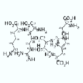 CC(O)C(N)C(=O)O.N=C(N)NCCCC(N)C(=O)O.NC(CO)C(=O)O.NC(Cc1c[nH]cn1)C(=O)O.NCCCCC(N)C(=O)O